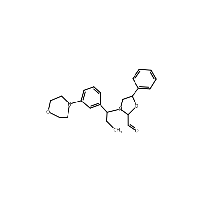 CCC(c1cccc(N2CCOCC2)c1)N1CC(c2ccccc2)OC1C=O